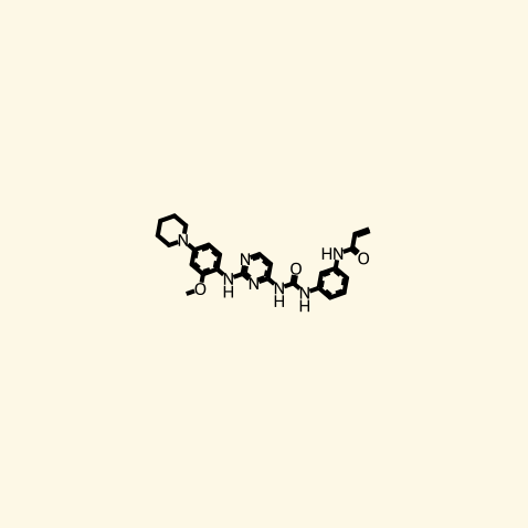 C=CC(=O)Nc1cccc(NC(=O)Nc2ccnc(Nc3ccc(N4CCCCC4)cc3OC)n2)c1